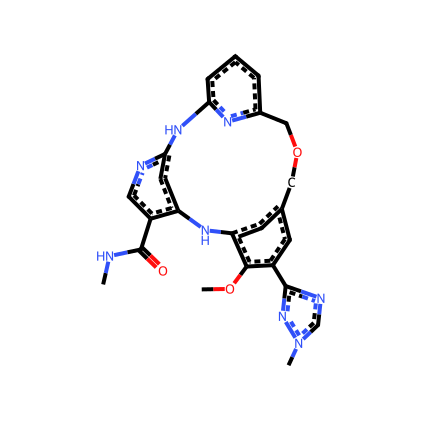 CNC(=O)c1cnc2cc1Nc1cc(cc(-c3ncn(C)n3)c1OC)COCc1cccc(n1)N2